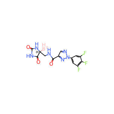 B[C@]1(CNC(=O)c2cnn(-c3cc(F)c(F)c(F)c3)n2)NC(=O)NC1=O